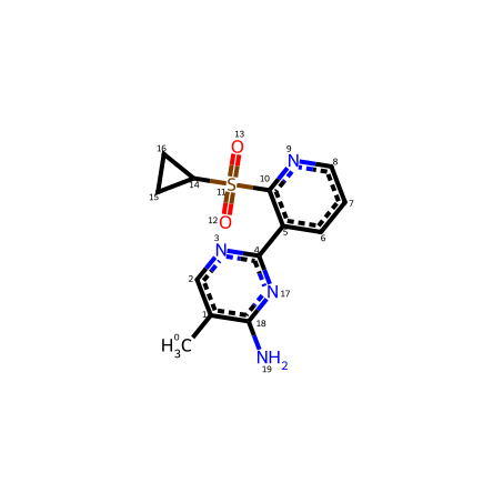 Cc1cnc(-c2cccnc2S(=O)(=O)C2CC2)nc1N